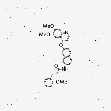 COc1ccccc1CCC(=O)Nc1ccc2ccc(Oc3ccnc4cc(OC)c(OC)cc34)cc2c1